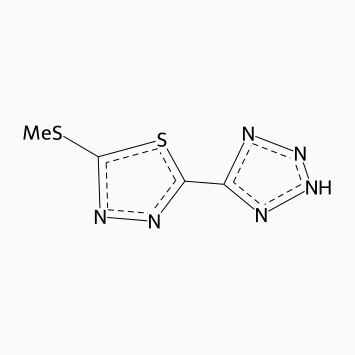 CSc1nnc(-c2nn[nH]n2)s1